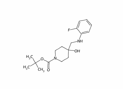 CC(C)(C)OC(=O)N1CCC(O)(CNc2ccccc2F)CC1